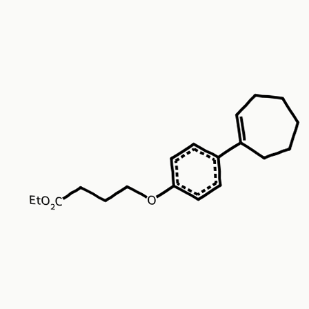 CCOC(=O)CCCOc1ccc(C2=CCCCCC2)cc1